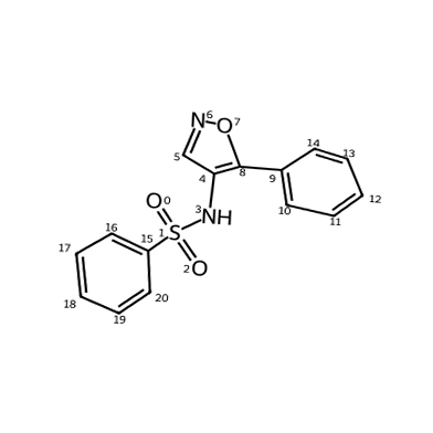 O=S(=O)(Nc1cnoc1-c1ccccc1)c1ccccc1